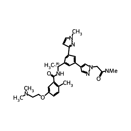 CNC(=O)Cn1cc(-c2cc(-c3ccn(C)n3)cc([C@@H](C)NC(=O)c3cc(OCCN(C)C)ccc3C)c2)cn1